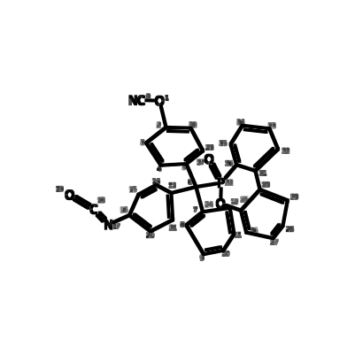 N#COc1ccc(C(c2ccccc2)(c2ccc(N=C=O)cc2)P2(=O)Oc3ccccc3-c3ccccc32)cc1